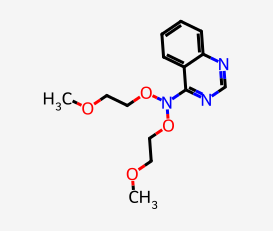 COCCON(OCCOC)c1ncnc2ccccc12